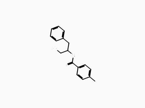 Cc1ccc(C(=O)NC(CO)Cc2ccccc2)cc1